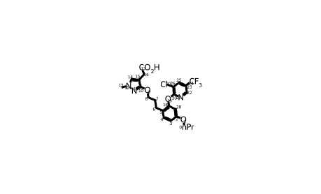 CCCOc1ccc(CCCOc2nn(C)cc2CC(=O)O)c(Oc2ncc(C(F)(F)F)cc2Cl)c1